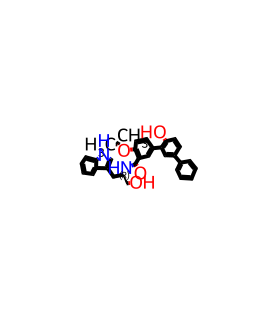 CC(C)Oc1ccc(-c2cc(-c3ccccc3)ccc2O)cc1C(=O)N[C@@H](CO)Cc1c[nH]c2ccccc12